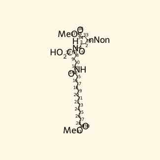 CCCCCCCCCC(CCC(=O)N[C@@H](CCCCNC(=O)CCCCCCCCCCCCCCC(=O)OC)C(=O)O)CCC(=O)OC